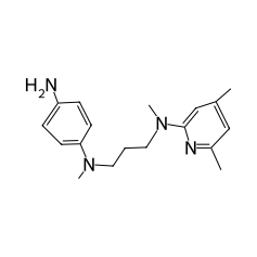 Cc1cc(C)nc(N(C)CCCN(C)c2ccc(N)cc2)c1